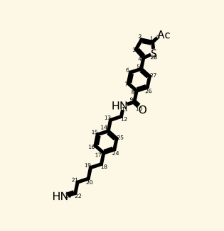 CC(=O)c1ccc(-c2ccc(C(=O)NCCc3ccc(CCCCC=N)cc3)cc2)s1